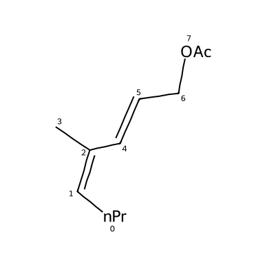 CCCC=C(C)C=CCOC(C)=O